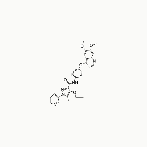 CCOc1c(C(=O)Nc2ccc(Oc3ccnc4cc(OC)c(OC)cc34)cn2)nn(-c2cccnc2)c1C